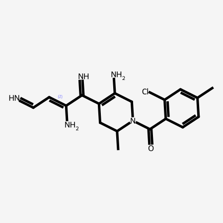 Cc1ccc(C(=O)N2CC(N)=C(C(=N)/C(N)=C/C=N)CC2C)c(Cl)c1